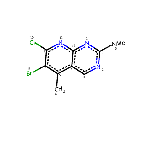 CNc1ncc2c(C)c(Br)c(Cl)nc2n1